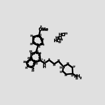 COc1ccc(-c2cc(NCCCN3CCC(N)CC3)c3sccc3n2)cc1.Cl.Cl.Cl